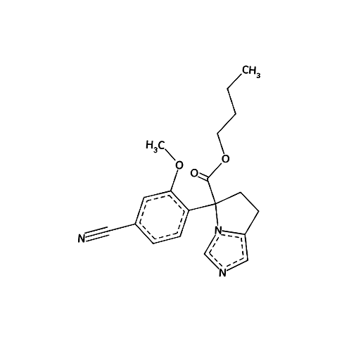 CCCCOC(=O)C1(c2ccc(C#N)cc2OC)CCc2cncn21